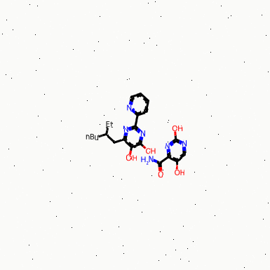 CCCCC(CC)Cc1nc(-c2ccccn2)nc(O)c1O.NC(=O)c1nc(O)ncc1O